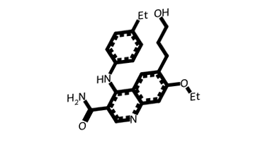 CCOc1cc2ncc(C(N)=O)c(Nc3ccc(CC)cc3)c2cc1CCCO